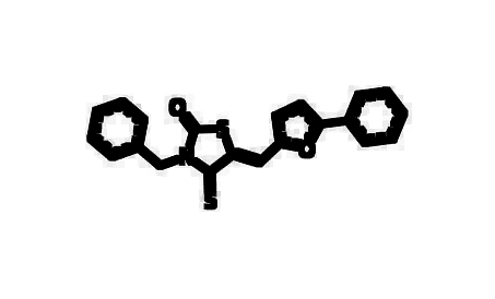 O=C1S/C(=C\c2ccc(-c3ccccc3)o2)C(=S)N1Cc1ccccc1